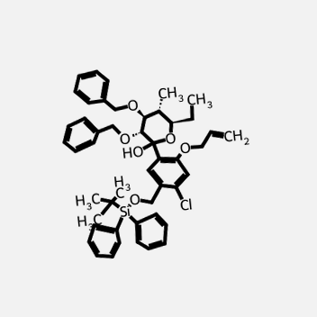 C=CCOc1cc(Cl)c(CO[Si](c2ccccc2)(c2ccccc2)C(C)(C)C)cc1C1(O)O[C@H](CC)[C@@H](C)[C@H](OCc2ccccc2)[C@H]1OCc1ccccc1